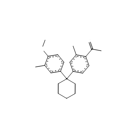 COc1ccc(C2(c3ccc(C(C)=O)c(C)c3)CCCCC2)cc1C